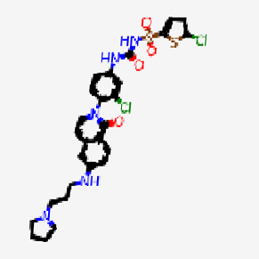 O=C(Nc1ccc(-n2ccc3cc(NCCCN4CCCC4)ccc3c2=O)c(Cl)c1)NS(=O)(=O)C1=CCC(Cl)S1